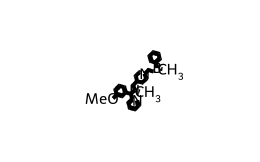 COc1cccc(C(c2ccccn2)N(C)CC2CCN(CCB(C)c3ccccc3)CC2)c1